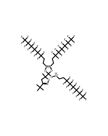 CC(C)(C)C1=NOC(C)(C(O[SiH2]CCC(F)(F)C(F)(F)C(F)(F)C(F)(F)C(F)(F)C(F)(F)F)(O[SiH2]CCC(F)(F)C(F)(F)C(F)(F)C(F)(F)C(F)(F)C(F)(F)F)O[SiH2]CCC(F)(F)C(F)(F)C(F)(F)C(F)(F)C(F)(F)C(F)(F)F)C1